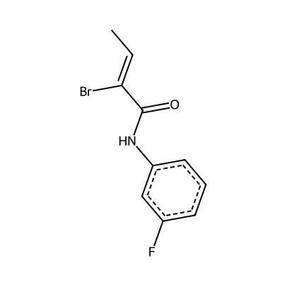 C/C=C(\Br)C(=O)Nc1cccc(F)c1